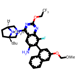 COCOc1cc(-c2c(N)cc3c(N4C[C@@H]5CC[C@@](C(C)(C)C)(C4)N5C(=O)O)nc(OCC(F)(F)F)nc3c2F)c2ccccc2c1